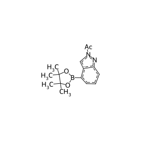 CC(=O)n1cc2c(B3OC(C)(C)C(C)(C)O3)cccc2n1